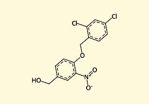 O=[N+]([O-])c1cc(CO)ccc1OCc1ccc(Cl)cc1Cl